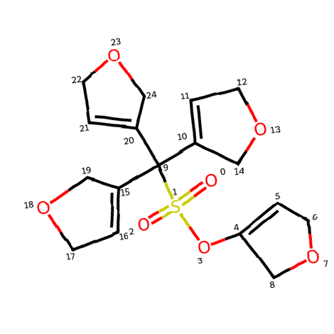 O=S(=O)(OC1=CCOC1)C(C1=CCOC1)(C1=CCOC1)C1=CCOC1